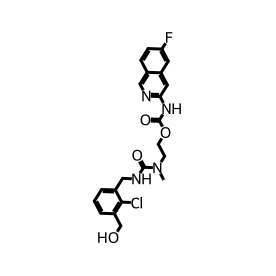 CN(CCOC(=O)Nc1cc2cc(F)ccc2cn1)C(=O)NCc1cccc(CO)c1Cl